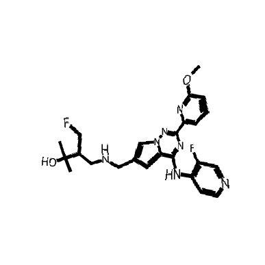 COc1cccc(-c2nc(Nc3ccncc3F)c3cc(CNCC(CF)C(C)(C)O)cn3n2)n1